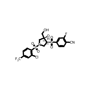 N#Cc1ccc(S(=O)(=O)[C@H]2CN(S(=O)(=O)c3ccc(C(F)(F)F)cc3Cl)C[C@]2(O)CO)cc1F